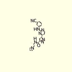 C[C@@H](CN1CCC1)NC(=O)c1cc(-c2ccnc(Nc3cccc(C#N)c3)n2)nn1C